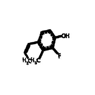 C/C=C\c1ccc(O)c(F)c1C